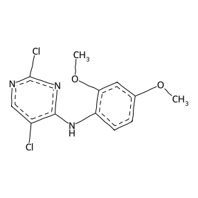 COc1ccc(Nc2nc(Cl)ncc2Cl)c(OC)c1